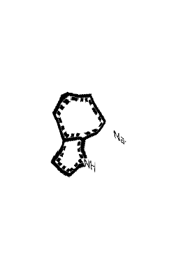 [Na].c1ccc2[nH]ccc2c1